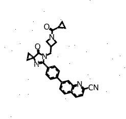 N#Cc1ccc2ccc(-c3ccc(C4=NC5(CC5)C(=O)N4CC4CN(C(=O)C5CC5)C4)cc3)cc2n1